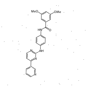 COc1cc(OC)cc(C(=O)Nc2ccc(Nc3nccc(-c4cccnc4)n3)cc2)c1